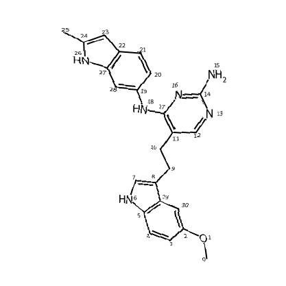 COc1ccc2[nH]cc(CCc3cnc(N)nc3Nc3ccc4cc(C)[nH]c4c3)c2c1